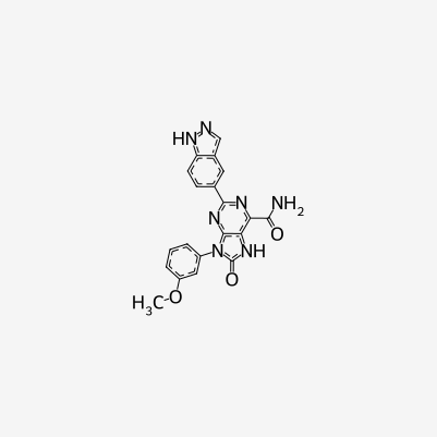 COc1cccc(-n2c(=O)[nH]c3c(C(N)=O)nc(-c4ccc5[nH]ncc5c4)nc32)c1